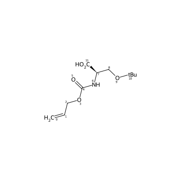 C=CCOC(=O)N[C@H](COC(C)(C)C)C(=O)O